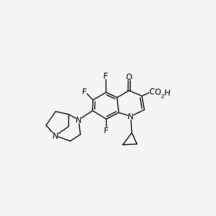 O=C(O)c1cn(C2CC2)c2c(F)c(N3CCN4CCC3C4)c(F)c(F)c2c1=O